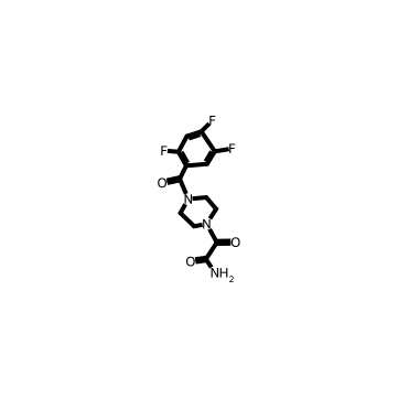 NC(=O)C(=O)N1CCN(C(=O)c2cc(F)c(F)cc2F)CC1